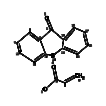 C=CC([O])=O.O=c1c2ccccc2sc2ccccc12